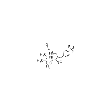 CC(C)[C@H](C)NC(=O)c1noc(-c2ccc(C(F)(F)F)cc2)c1CNCCC1CC1